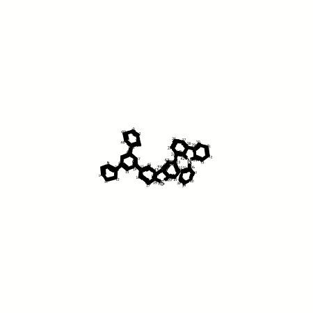 c1ccc(-c2cc(-c3ccccc3)cc(-c3ccc4sc5ccc(-c6cccc7c8ccccc8n(-c8ccccc8)c67)cc5c4c3)c2)cc1